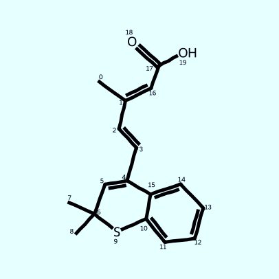 CC(C=CC1=CC(C)(C)Sc2ccccc21)=CC(=O)O